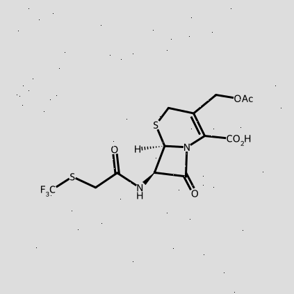 CC(=O)OCC1=C(C(=O)O)N2C(=O)[C@@H](NC(=O)CSC(F)(F)F)[C@H]2SC1